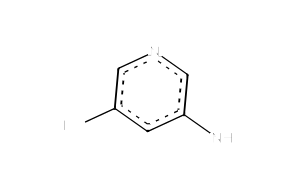 Cc1cncc([NH])c1